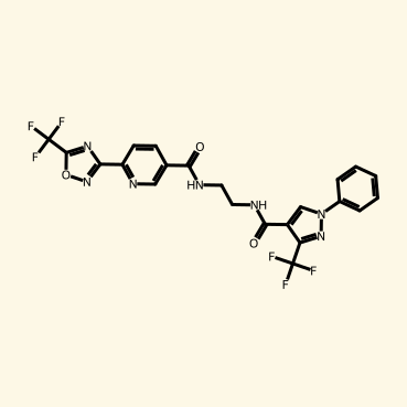 O=C(NCCNC(=O)c1cn(-c2ccccc2)nc1C(F)(F)F)c1ccc(-c2noc(C(F)(F)F)n2)nc1